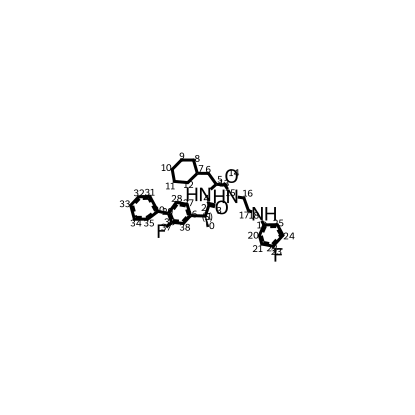 C[C@H](C(=O)NC(CC1CCCCC1)C(=O)NCCNc1ccc(F)cc1)c1ccc(-c2ccccc2)c(F)c1